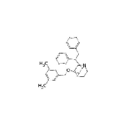 Cc1cc(C)cc(COC2C3CCN(CC3)C2C(Cc2ccccc2)c2ccccc2)c1